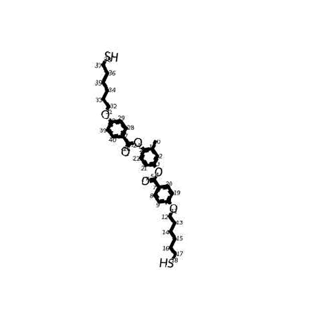 Cc1cc(OC(=O)c2ccc(OCCCCCCS)cc2)ccc1OC(=O)c1ccc(OCCCCCCS)cc1